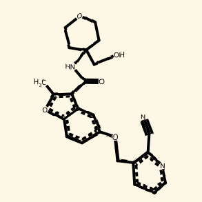 Cc1oc2ccc(OCc3cccnc3C#N)cc2c1C(=O)NC1(CO)CCOCC1